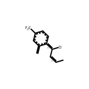 C=c1cc(C(F)(F)F)cc/c1=C(Cl)/C=C\C